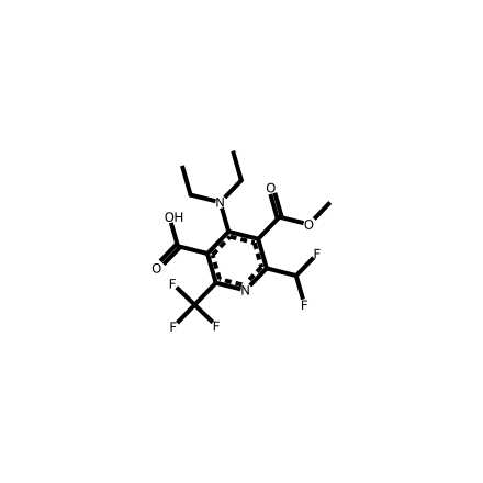 CCN(CC)c1c(C(=O)OC)c(C(F)F)nc(C(F)(F)F)c1C(=O)O